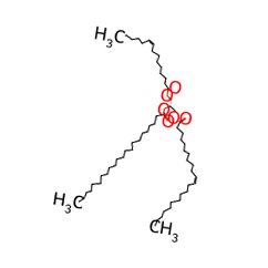 CCCCC/C=C\CCCCCCCC(=O)OC[C@H](COC(=O)CCCCCCCCC/C=C\CCCCCCCCCC)OC(=O)CCCCCCCCCCCCCCCCCCCCC